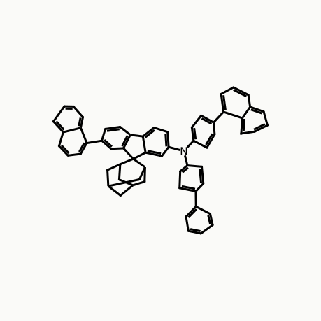 c1ccc(-c2ccc(N(c3ccc(-c4cccc5ccccc45)cc3)c3ccc4c(c3)C3(c5cc(-c6cccc7ccccc67)ccc5-4)C4CC5CC(C4)CC3C5)cc2)cc1